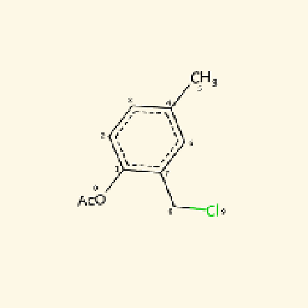 CC(=O)Oc1ccc(C)cc1CCl